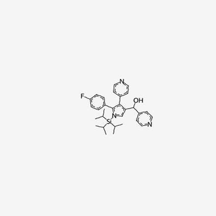 CC(C)[Si](C(C)C)(C(C)C)n1cc(C(O)c2ccncc2)c(-c2ccncc2)c1-c1ccc(F)cc1